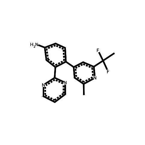 Cc1cc(-c2ccc(N)cc2-c2n[c]ccn2)cc(C(C)(F)F)n1